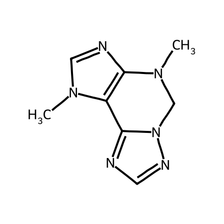 CN1Cn2ncnc2-c2c1ncn2C